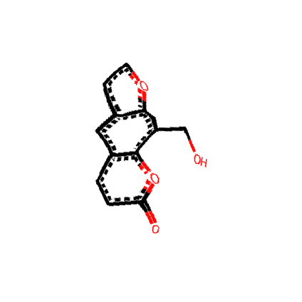 O=c1ccc2cc3ccoc3c(CO)c2o1